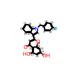 O=c1cc(-c2cn(Cc3ccc(F)cc3)c3ccccc23)oc2cc(O)cc(O)c12